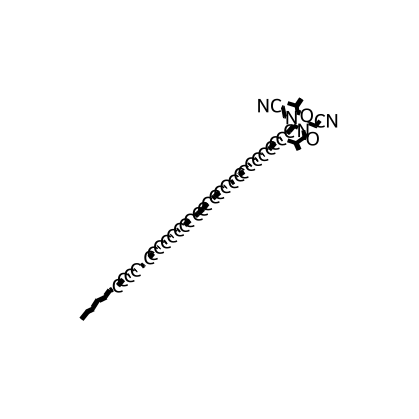 C=C=C=C=C=C=C=C=C=C=C=C=C=C=C=C=C=C=C=C=C=C=C=C=C=C=C=C=C=C=C=C=C=C=C=C(N(CCC#N)C(=O)C(=C)C)N(CCC#N)C(=O)C(=C)C